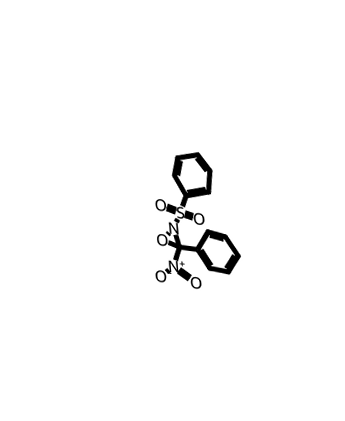 O=[N+]([O-])C1(c2ccccc2)ON1S(=O)(=O)c1ccccc1